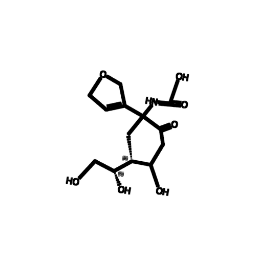 O=C(O)NC1(C2=CCOC2)C[C@@H]([C@H](O)CO)C(O)CC1=O